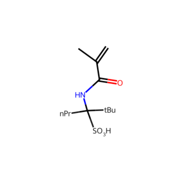 C=C(C)C(=O)NC(CCC)(C(C)(C)C)S(=O)(=O)O